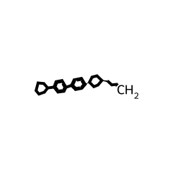 C=CCC[C@H]1CC[C@H](c2ccc(-c3ccc(C4CCCCC4)cc3)cc2)CC1